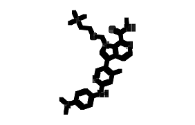 CNC(=O)c1nccc2c(-c3cnc(Nc4ccc(N(C)C)cc4)cc3C)cn(COCC[Si](C)(C)C)c12